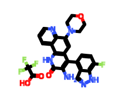 Nc1c(-c2ccc(F)c3[nH]ncc23)c2cc(N3CCOCC3)c3ncccc3c2[nH]c1=O.O=C(O)C(F)(F)F